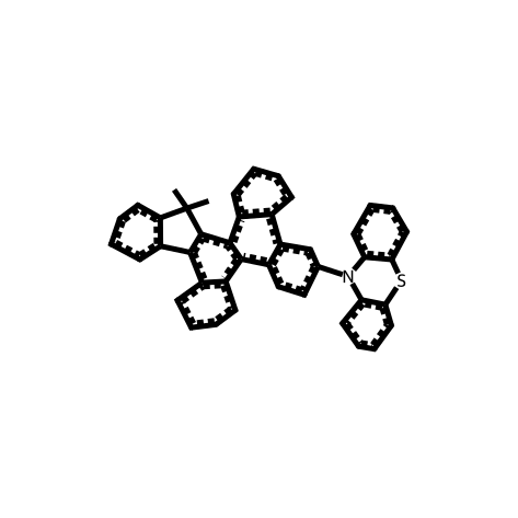 CC1(C)c2ccccc2-c2c1c1c3ccccc3c3cc(N4c5ccccc5Sc5ccccc54)ccc3c1c1ccccc21